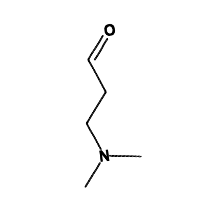 CN(C)CCC=O